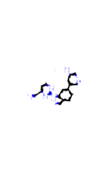 N#Cc1ccnc(-n2ncc3ccc(-c4cncc(N)c4)cc32)n1